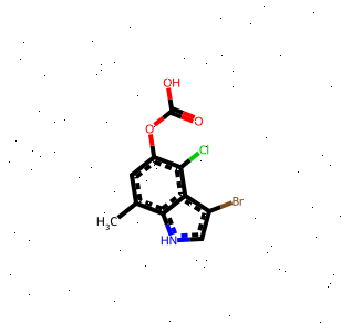 Cc1cc(OC(=O)O)c(Cl)c2c(Br)c[nH]c12